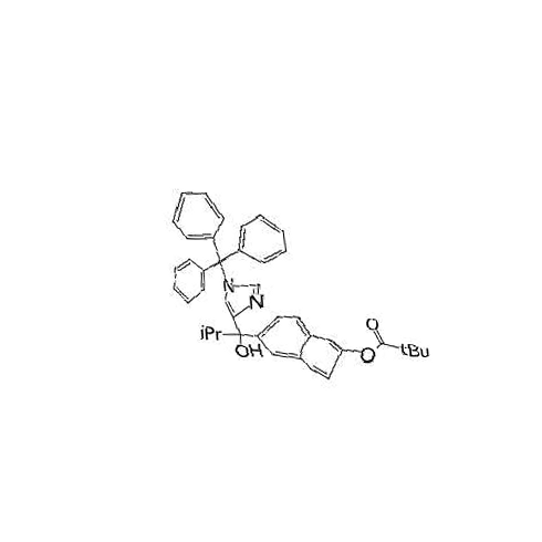 CC(C)C(O)(c1ccc2cc(OC(=O)C(C)(C)C)ccc2c1)c1cn(C(c2ccccc2)(c2ccccc2)c2ccccc2)cn1